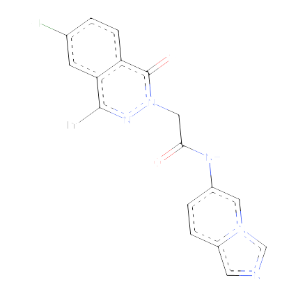 CC(C)c1nn(CC(=O)Nc2ccc3cncn3c2)c(=O)c2ccc(Cl)cc12